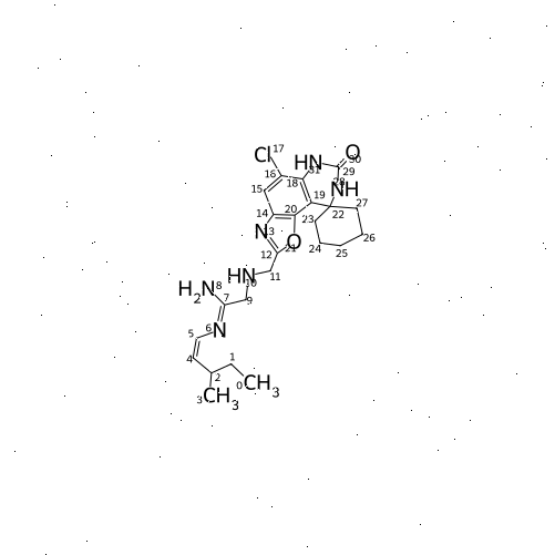 CCC(C)/C=C\N=C(/N)CNCc1nc2cc(Cl)c3c(c2o1)C1(CCCCC1)NC(=O)N3